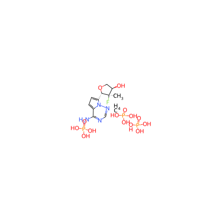 C.C[C@@]1(F)[C@H](O)CO[C@H]1c1ccc2c(N)ncnn12.O=P(O)(O)O.O=P(O)(O)O.O=P(O)(O)O